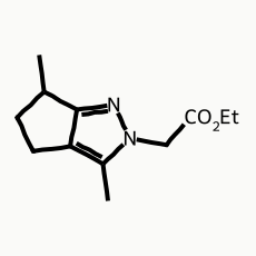 CCOC(=O)Cn1nc2c(c1C)CCC2C